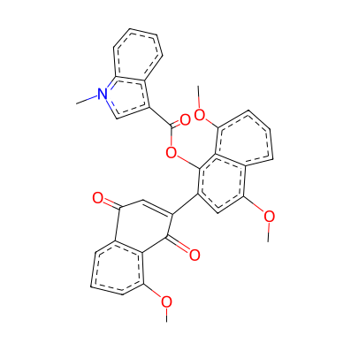 COc1cccc2c1C(=O)C(c1cc(OC)c3cccc(OC)c3c1OC(=O)c1cn(C)c3ccccc13)=CC2=O